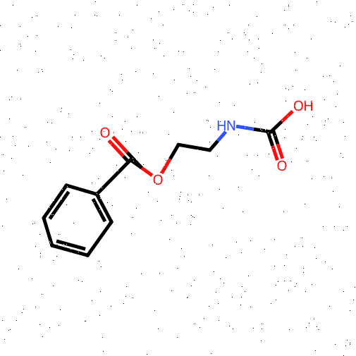 O=C(O)NCCOC(=O)c1ccccc1